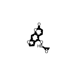 O=c1ccc2c(OBC3CO3)c3ccoc3cc2o1